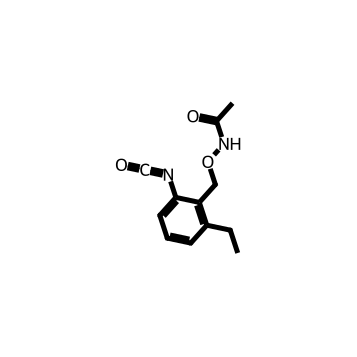 CCc1cccc(N=C=O)c1CONC(C)=O